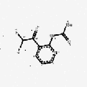 CC(C)(C)C(=O)Nc1ncccc1C(=O)C(F)F